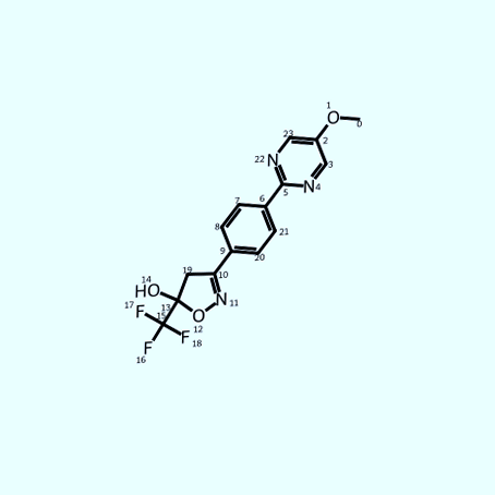 COc1cnc(-c2ccc(C3=NOC(O)(C(F)(F)F)C3)cc2)nc1